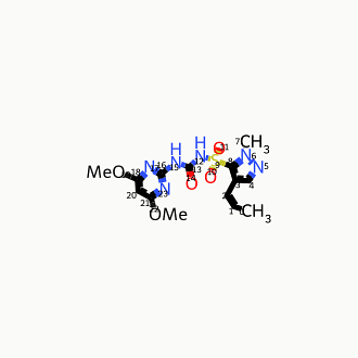 C/C=C\c1cnn(C)c1S(=O)(=O)NC(=O)Nc1nc(OC)cc(OC)n1